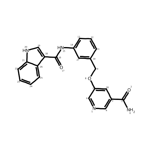 NC(=O)c1cncc(OCc2cccc(NC(=O)c3c[nH]c4ccccc34)c2)c1